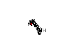 COc1cccc(OC)c1C(=O)Nc1ccc2c(c1)ncn2-c1ccnc(NC(C)c2ccccc2)n1